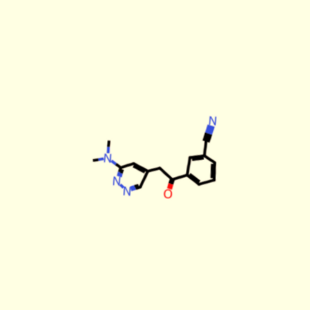 CN(C)c1cc(CC(=O)c2cccc(C#N)c2)cnn1